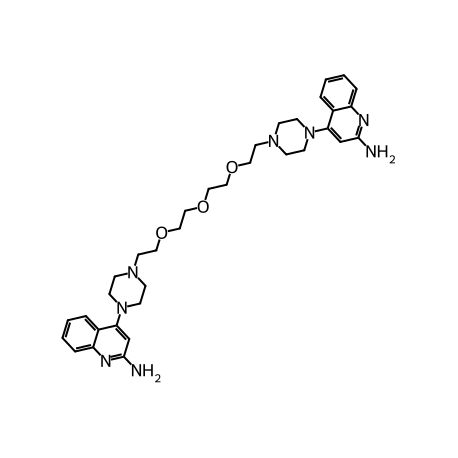 Nc1cc(N2CCN(CCOCCOCCOCCN3CCN(c4cc(N)nc5ccccc45)CC3)CC2)c2ccccc2n1